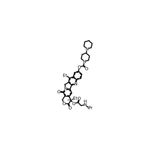 CCc1c2c(nc3ccc(OC(=O)N4CCC(N5CCCCC5)CC4)cc13)-c1cc3c(c(=O)n1C2)COC(=O)[C@@]3(CC)OC(=O)CNC(C)C